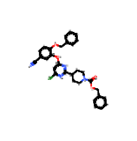 N#Cc1ccc(OCc2ccccc2)c(Oc2cc(Cl)nc(C3CCN(C(=O)OCc4ccccc4)CC3)n2)c1